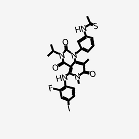 CC(=S)Nc1cccc(-n2c(=O)n(C(C)C)c(=O)c3c(Nc4ccc(I)cc4F)n(C)c(=O)c(C)c32)c1